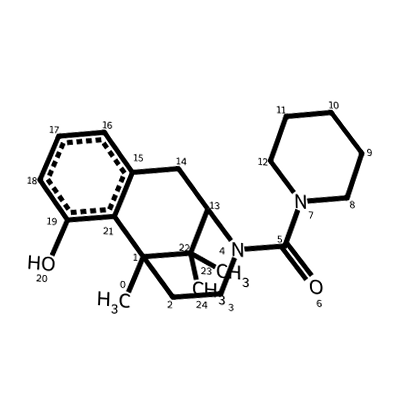 CC12CCN(C(=O)N3CCCCC3)C(Cc3cccc(O)c31)C2(C)C